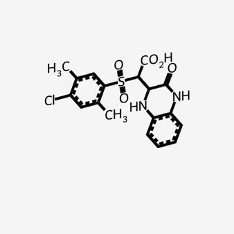 Cc1cc(S(=O)(=O)C(C(=O)O)C2Nc3ccccc3NC2=O)c(C)cc1Cl